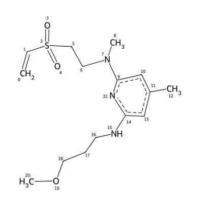 C=CS(=O)(=O)CCN(C)c1cc(C)cc(NCCCOC)n1